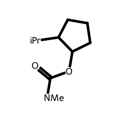 CNC(=O)OC1CCCC1C(C)C